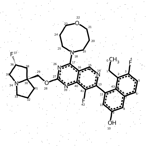 CCc1c(F)ccc2cc(O)cc(-c3ncc4c(N5CCCOCCC5)nc(OC[C@@]56CCCN5C[C@H](F)C6)nc4c3F)c12